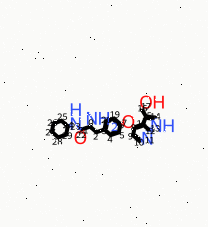 NC(Cc1ccc(Oc2ccnc3[nH]cc(CO)c23)cc1)C(=O)NC1CCCCC1